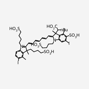 CCCCC(C(=O)O)C1(C)/C(=C/C=C/C=C/C=C/C2=[N+](CCCCS(=O)(=O)O)c3ccc(I)c(C)c3C2(C)CCCCS(=O)(=O)O)N(CCCCS(=O)(=O)O)c2cc(I)c(S(=O)(=O)O)c(I)c21